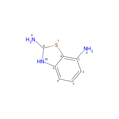 Nc1cccc2c1SC(N)N2